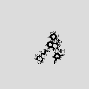 Cc1cc(F)ccc1Nc1nc(N(C)c2ccccc2)c2cccc(OCCCN3CCOCC3)c2n1